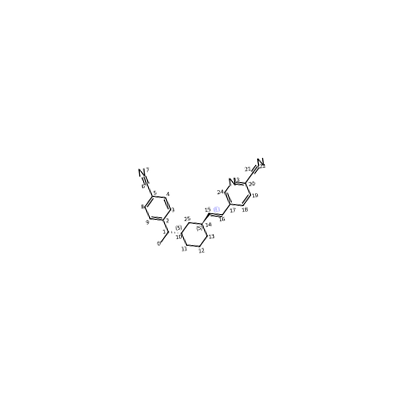 CC(c1ccc(C#N)cc1)[C@H]1CCC[C@H](/C=C/c2ccc(C#N)nc2)C1